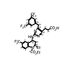 CCOC(=O)N1c2ccc(C(F)(F)F)cc2[C@@H](Nc2ncc(CCC(=O)O)c(Cc3cc(C(F)(F)F)cc(C(F)(F)F)c3)n2)C[C@H]1CC